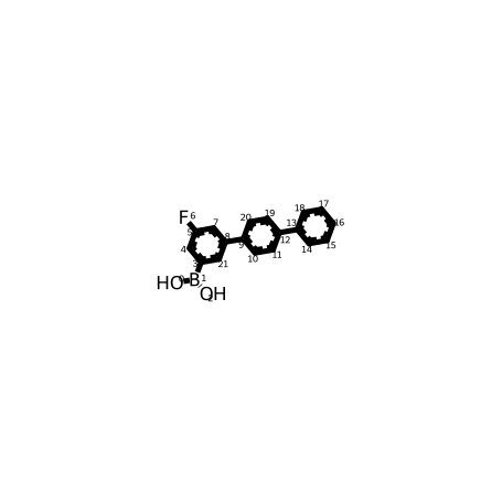 OB(O)c1cc(F)cc(-c2ccc(-c3ccccc3)cc2)c1